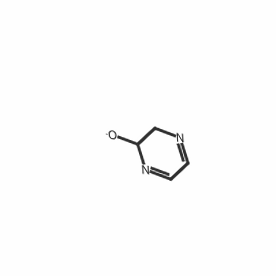 [O]C1CN=CC=N1